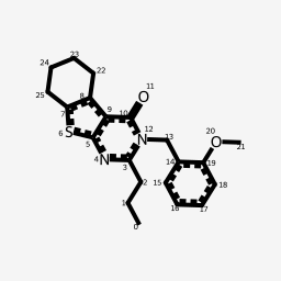 CCCc1nc2sc3c(c2c(=O)n1Cc1ccccc1OC)CCCC3